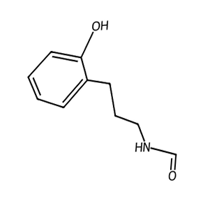 O=CNCCCc1ccccc1O